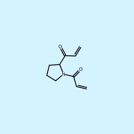 C=CC(=O)C1CCCN1C(=O)C=C